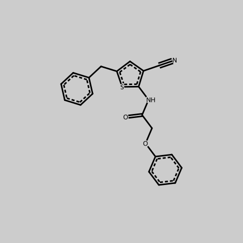 N#Cc1cc(Cc2ccccc2)sc1NC(=O)COc1ccccc1